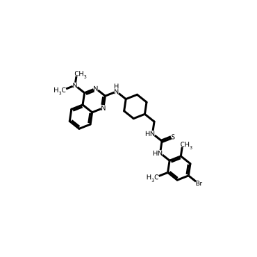 Cc1cc(Br)cc(C)c1NC(=S)NCC1CCC(Nc2nc(N(C)C)c3ccccc3n2)CC1